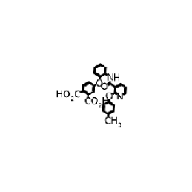 Cc1ccc(Oc2ncccc2C(=O)Nc2ccccc2Oc2ccc(C(=O)O)c(C(=O)O)c2)cc1